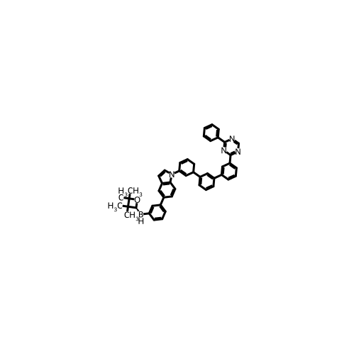 CC1(C)O[C@@H](Bc2cccc(-c3ccc4c(ccn4C4=CC(c5cccc(-c6cccc(-c7ncnc(-c8ccccc8)n7)c6)c5)CC=C4)c3)c2)C1(C)C